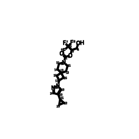 O=C(OC(CO)C(F)(F)F)N1CCC2(CC1)CC(n1cc(C3CC3)cn1)C2